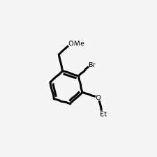 CCOc1cccc(COC)c1Br